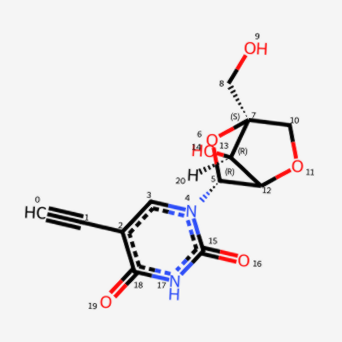 C#Cc1cn([C@@H]2O[C@@]3(CO)COC2[C@H]3O)c(=O)[nH]c1=O